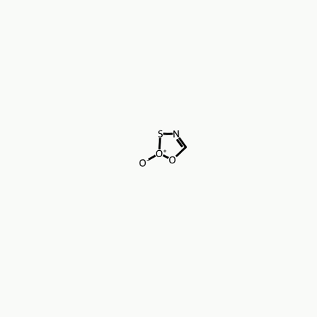 [O-][O+]1OC=NS1